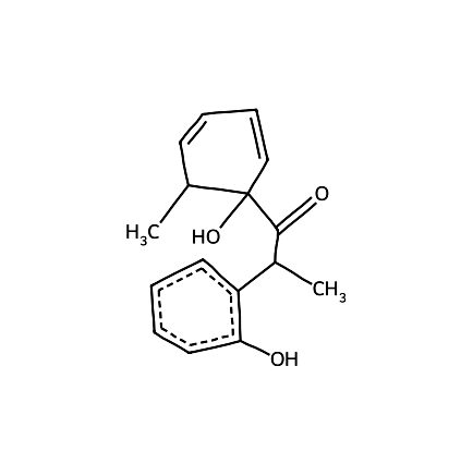 CC(C(=O)C1(O)C=CC=CC1C)c1ccccc1O